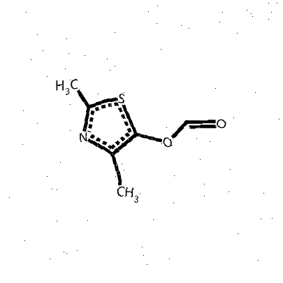 Cc1nc(C)c(OC=O)s1